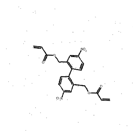 C=CC(=O)OCc1cc([N+](=O)[O-])ccc1-c1ccc([N+](=O)[O-])cc1COC(=O)C=C